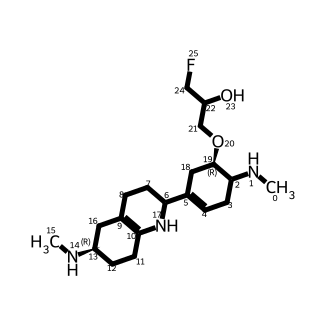 CNC1CC=C(C2CCC3=C(CC[C@@H](NC)C3)N2)C[C@H]1OCC(O)CF